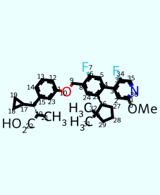 COc1cc(-c2cc(F)c(COc3cccc([C@@H](C4CC4)C(C)C(=O)O)c3)cc2[C@H]2CCCC2(C)C)c(F)cn1